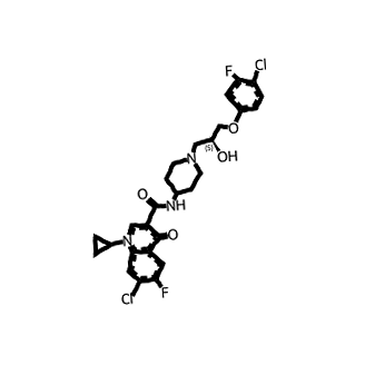 O=C(NC1CCN(C[C@H](O)COc2ccc(Cl)c(F)c2)CC1)c1cn(C2CC2)c2cc(Cl)c(F)cc2c1=O